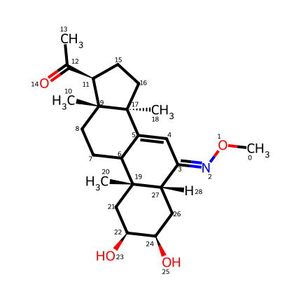 CO/N=C1\C=C2C(CC[C@]3(C)[C@@H](C(C)=O)CC[C@@]23C)[C@@]2(C)C[C@H](O)[C@H](O)C[C@@H]12